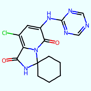 O=C1NC2(CCCCC2)n2c1c(Cl)cc(Nc1ncncn1)c2=O